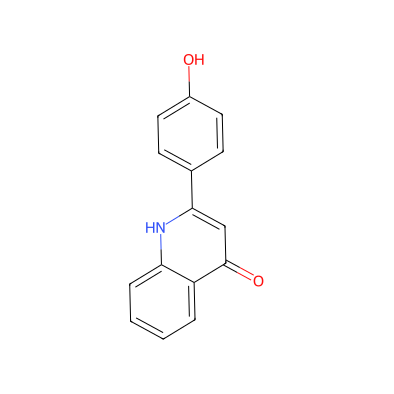 O=c1cc(-c2ccc(O)cc2)[nH]c2ccccc12